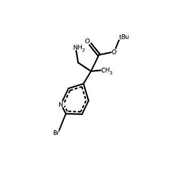 CC(C)(C)OC(=O)C(C)(CN)c1ccc(Br)nc1